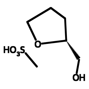 CS(=O)(=O)O.OC[C@H]1CCCO1